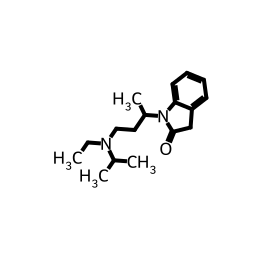 CCN(CCC(C)N1C(=O)Cc2ccccc21)C(C)C